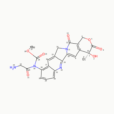 CC[C@@]1(O)C(=O)OCc2c1cc1n(c2=O)Cc2cc3c(N(C(=O)CN)C(=O)OC(C)(C)C)cccc3nc2-1